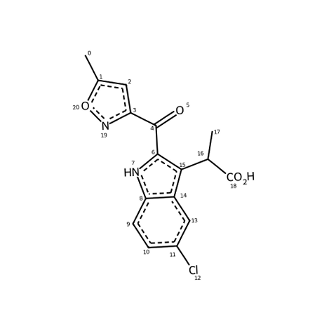 Cc1cc(C(=O)c2[nH]c3ccc(Cl)cc3c2C(C)C(=O)O)no1